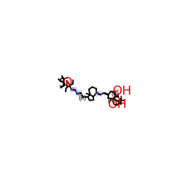 CCC(/C=C/C=C/[C@@H](C)C1CCC2/C(=C/C=C3C[C@@H](O)C(C)(O[Si](C)(C)C)[C@H](O)C3)CCCC21C)(CC)O[Si](CC)(CC)CC